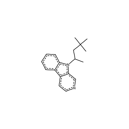 CC(CC(C)(C)C)n1c2ccccc2c2ccncc21